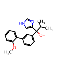 COc1ccccc1-c1cccc(C(O)(c2c[nH]cn2)C(C)C)c1